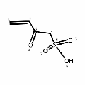 C=CC(=O)CS(=O)(=O)O